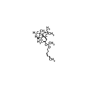 C=C/C=C\CCOC(C)OC(=C)/C=C\C(=C)C(CC(C)(C)C)C(C)(C)C